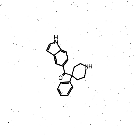 O=C(c1ccc2[nH]ccc2c1)C1(c2ccccc2)CCNCC1